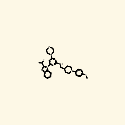 COc1ccc(N2CCC(CNc3nc(N4CCOCC4)cc(-n4c(C(F)F)nc5ccccc54)n3)CC2)cc1